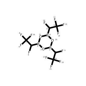 FC(B1OB(C(F)C(F)(F)F)OB(C(F)C(F)(F)F)O1)C(F)(F)F